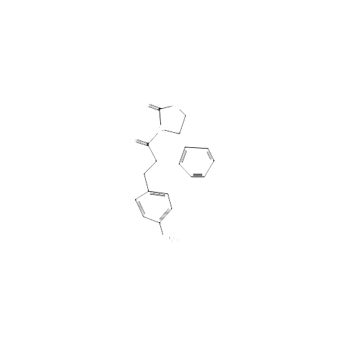 COc1ccc(CCC(=O)N2C(=O)OC[C@@H]2c2ccccc2)cc1